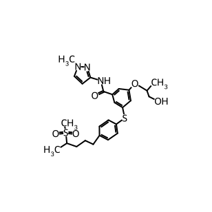 CC(CO)Oc1cc(Sc2ccc(CCCC(C)S(C)(=O)=O)cc2)cc(C(=O)Nc2ccn(C)n2)c1